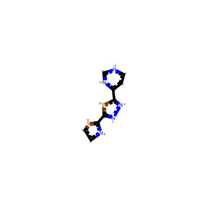 c1cc(-c2nnc(-c3nccs3)s2)ncn1